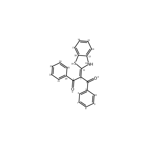 O=C(C(C(=O)c1ccccc1)=C1Nc2ccccc2S1)c1ccccc1